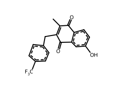 CC1=C(Cc2ccc(C(F)(F)F)cc2)C(=O)c2cc(O)ccc2C1=O